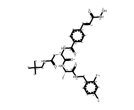 C[C@H](NC(=O)[C@H](CC(=O)NCC(C)(C)C)NC(=O)c1ccc(/C=C/C(=O)NO)cc1)C(=O)NCc1ccc(I)cc1F